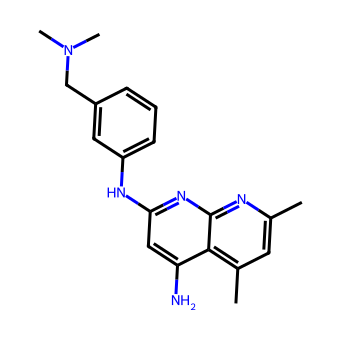 Cc1cc(C)c2c(N)cc(Nc3cccc(CN(C)C)c3)nc2n1